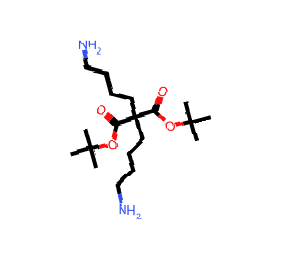 CC(C)(C)OC(=O)C(CCCCN)(CCCCN)C(=O)OC(C)(C)C